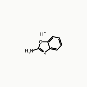 F.Nc1nc2ccccc2o1